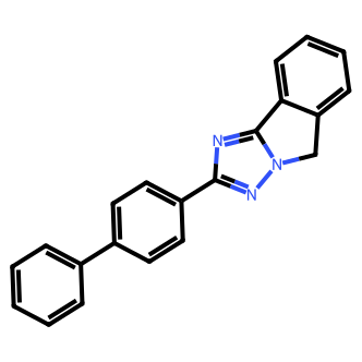 c1ccc(-c2ccc(-c3nc4n(n3)Cc3ccccc3-4)cc2)cc1